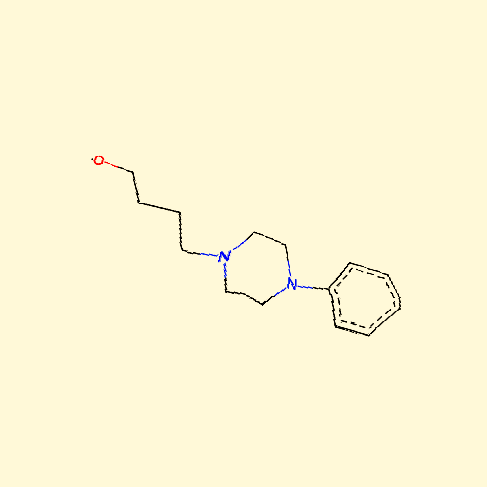 [O]CCCCN1CCN(c2ccccc2)CC1